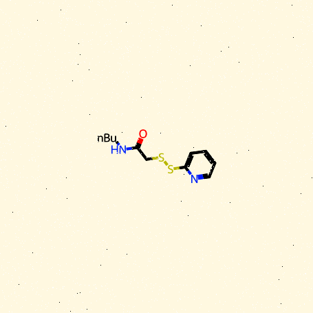 CCCCNC(=O)CSSc1ccccn1